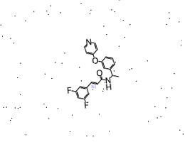 CC(NC(=O)/C=C/c1cc(F)cc(F)c1)c1cccc(Oc2ccncc2)c1